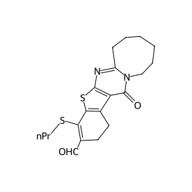 CCCSC1=C(C=O)CCc2c1sc1nc3n(c(=O)c21)CCCCCC3